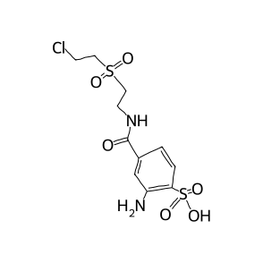 Nc1cc(C(=O)NCCS(=O)(=O)CCCl)ccc1S(=O)(=O)O